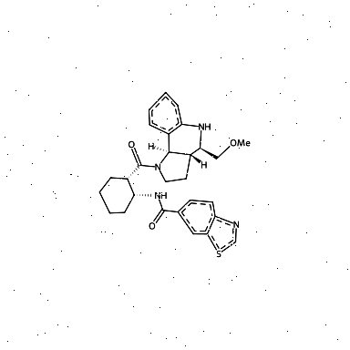 COC[C@@H]1Nc2ccccc2[C@H]2[C@H]1CCN2C(=O)[C@H]1CCCC[C@H]1NC(=O)c1ccc2ncsc2c1